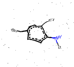 CCNc1ccc(C(C)(C)C)cc1CC